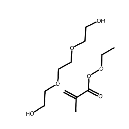 C=C(C)C(=O)OOCC.OCCOCCOCCO